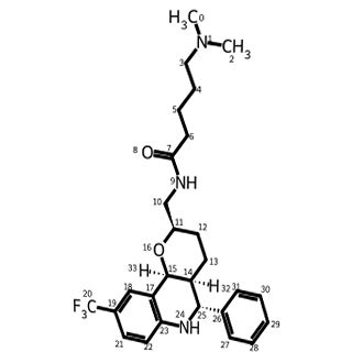 CN(C)CCCCC(=O)NC[C@H]1CC[C@@H]2[C@H](O1)c1cc(C(F)(F)F)ccc1N[C@H]2c1ccccc1